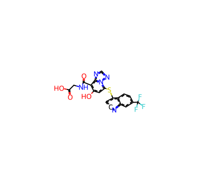 O=C(O)CNC(=O)c1c(O)cc(Sc2ccnc3cc(C(F)(F)F)ccc23)n2ncnc12